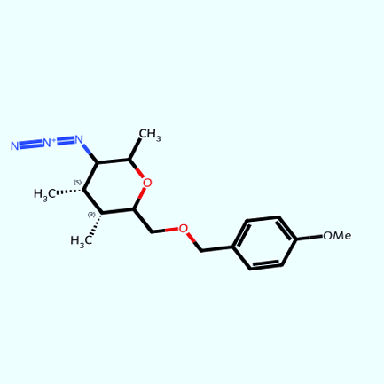 COc1ccc(COCC2OC(C)C(N=[N+]=[N-])[C@@H](C)[C@H]2C)cc1